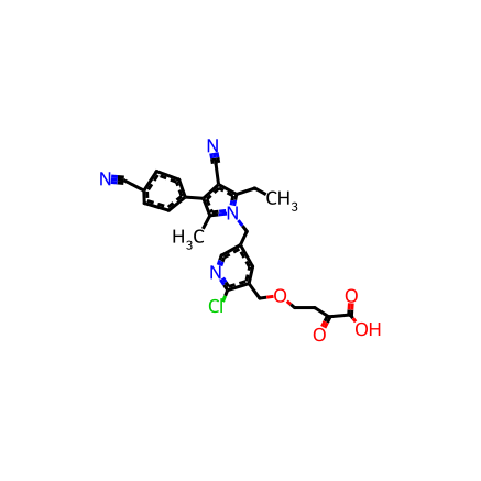 CCc1c(C#N)c(-c2ccc(C#N)cc2)c(C)n1Cc1cnc(Cl)c(COCCC(=O)C(=O)O)c1